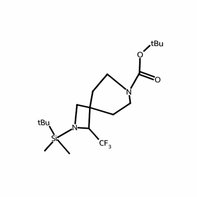 CC(C)(C)OC(=O)N1CCC2(CC1)CN([Si](C)(C)C(C)(C)C)C2C(F)(F)F